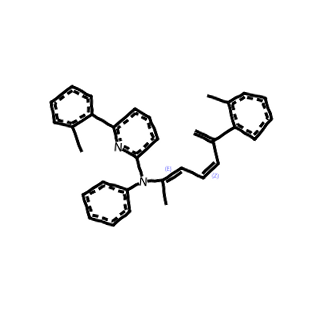 C=C(/C=C\C=C(/C)N(c1ccccc1)c1cccc(-c2ccccc2C)n1)c1ccccc1C